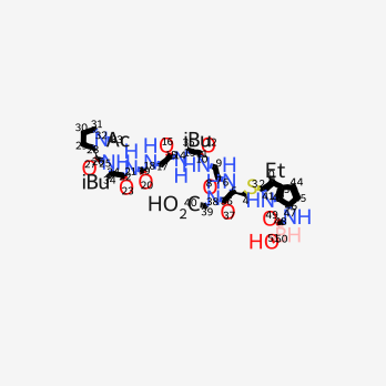 CCc1c(SC[C@H](NC(=O)CNC(=O)C(NC(=O)CNC(=O)NC(=O)C(NC(=O)[C@@H]2CCCN2C(C)=O)C(C)CC)[C@@H](C)CC)C(=O)NCC(=O)O)[nH]c2c1C=CC2NC(=O)BO